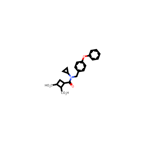 O=C(O)C1CC(C(=O)N(Cc2ccc(Oc3ccccc3)cc2)C2CC2)C1C(=O)O